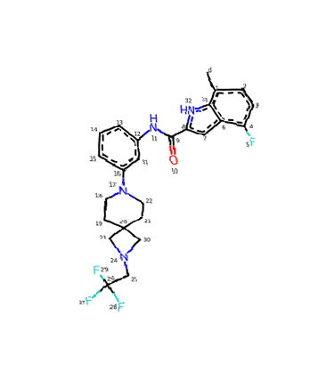 Cc1ccc(F)c2cc(C(=O)Nc3cccc(N4CCC5(CC4)CN(CC(F)(F)F)C5)c3)[nH]c12